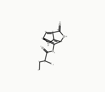 CCC(I)C(=O)Oc1c2c3oc1cc3C(=O)O2